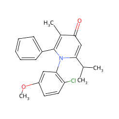 COc1ccc(Cl)c(-n2c(C(C)C)cc(=O)c(C)c2-c2ccccc2)c1